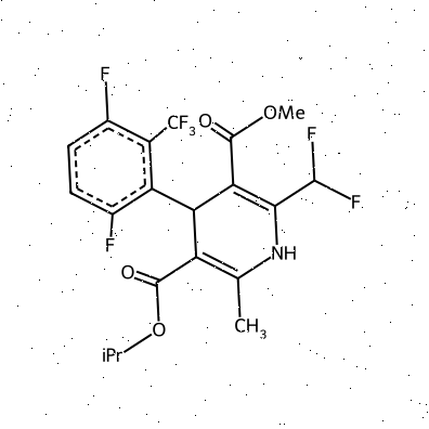 COC(=O)C1=C(C(F)F)NC(C)=C(C(=O)OC(C)C)C1c1c(F)ccc(F)c1C(F)(F)F